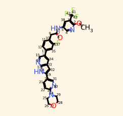 COc1ncc(NC(=O)Cc2ccc(-c3cnc4[nH]c(-c5ccc(N6CCOCC6)nc5)cc4c3)cc2F)cc1C(F)(F)F